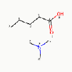 CCCCC(=O)O.CN(C)C